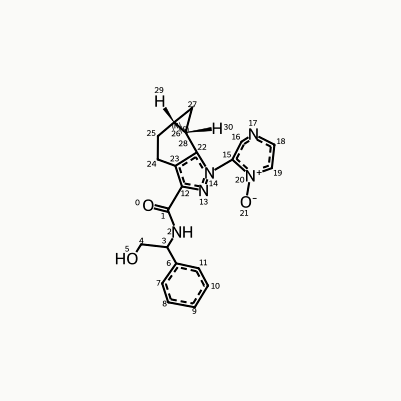 O=C(NC(CO)c1ccccc1)c1nn(-c2cncc[n+]2[O-])c2c1CC[C@@H]1C[C@H]21